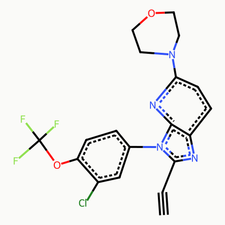 C#Cc1nc2ccc(N3CCOCC3)nc2n1-c1ccc(OC(F)(F)F)c(Cl)c1